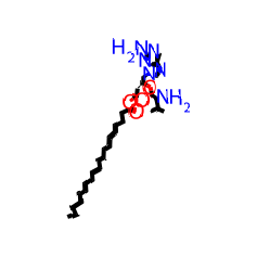 CCCCCCCC/C=C/CCCCCCCCCC(=O)OCC[C@H](Cn1cnc2cnc(N)nc21)OC(=O)[C@@H](N)C(C)C